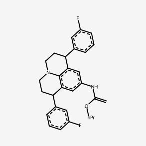 C=C(Nc1cc2c3c(c1)C(c1cccc(F)c1)CCN3CCC2c1cccc(F)c1)OCCC